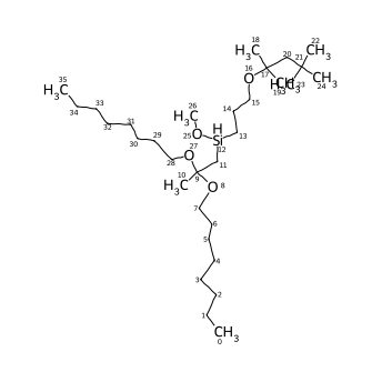 CCCCCCCCOC(C)(C[SiH](CCCOC(C)(C)CC(C)(C)C)OC)OCCCCCCCC